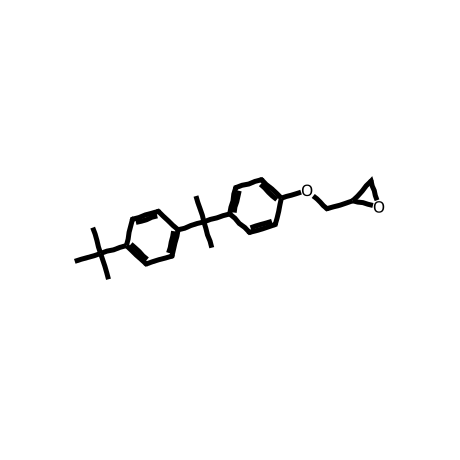 CC(C)(C)c1ccc(C(C)(C)c2ccc(OCC3CO3)cc2)cc1